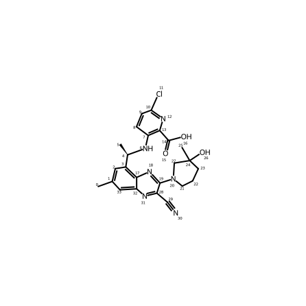 Cc1cc([C@@H](C)Nc2ccc(Cl)nc2C(=O)O)c2nc(N3CCCC(C)(O)C3)c(C#N)nc2c1